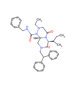 CCC(C)[C@H]1C(=O)N(CC(c2ccccc2)c2ccccc2)C[C@H]2N1C(=O)CN(CC)N2C(=O)NCc1ccccc1